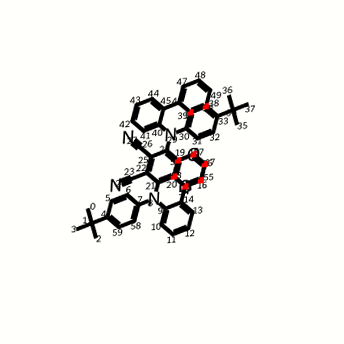 CC(C)(C)c1ccc(N(c2ccccc2-c2ccccc2)c2c(C#N)c(C#N)c(N(c3ccc(C(C)(C)C)cc3)c3ccccc3-c3ccccc3)c3c2OCCO3)cc1